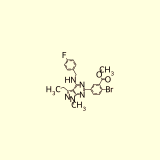 CCc1nn(C)c2nc(-c3ccc(Br)c(C(=O)OC)c3)nc(NCc3ccc(F)cc3)c12